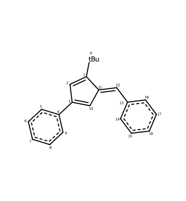 CC(C)(C)C1=CC(c2ccccc2)=CC1=Cc1ccccc1